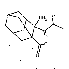 CC(C)C(=O)C1(N)C2CC3CC(C2)CC1(C(=O)O)C3